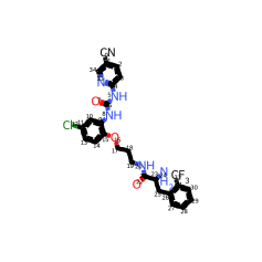 N#Cc1ccc(NC(=O)Nc2cc(Cl)ccc2OCCCNC(=O)C(N)Cc2ccccc2C(F)(F)F)nc1